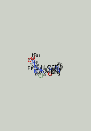 CC[C@H]1CN(C(=O)OC(C)(C)C)CCN1c1ncc(Cl)c(N2CC(C(=O)N(C)C(C)(C)c3cnc4ccccn34)C2)n1